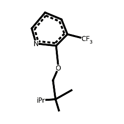 CC(C)C(C)(C)COc1ncccc1C(F)(F)F